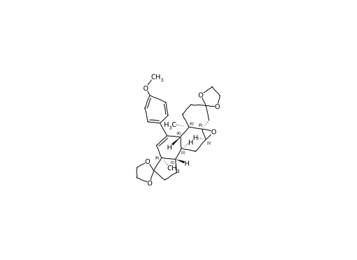 COc1ccc(C2=C[C@@]3(C)[C@@H](CCC34OCCO4)[C@@H]3C[C@@H]4O[C@@]45CC4(CC[C@]5(C)[C@@H]23)OCCO4)cc1